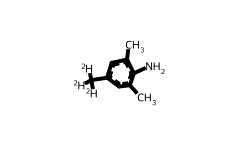 [2H]C([2H])([2H])c1cc(C)c(N)c(C)c1